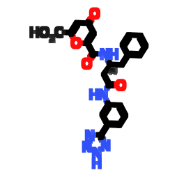 O=C(C[C@H](Cc1ccccc1)NC(=O)c1cc(=O)cc(C(=O)O)o1)Nc1cccc(-c2nn[nH]n2)c1